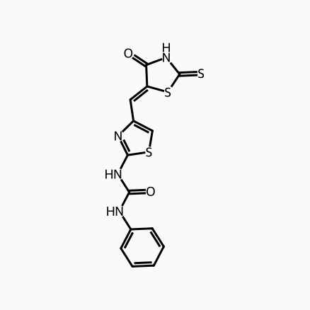 O=C(Nc1ccccc1)Nc1nc(/C=C2\SC(=S)NC2=O)cs1